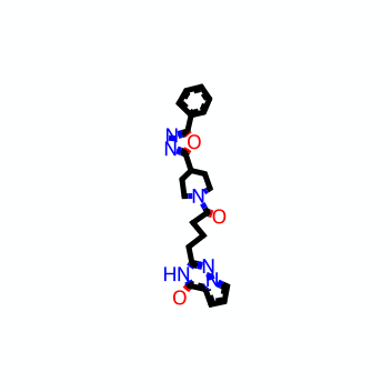 O=C(CCCc1nn2cccc2c(=O)[nH]1)N1CCC(c2nnc(-c3ccccc3)o2)CC1